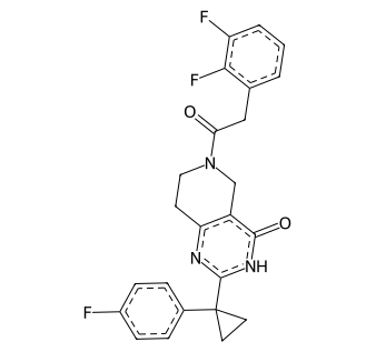 O=C(Cc1cccc(F)c1F)N1CCc2nc(C3(c4ccc(F)cc4)CC3)[nH]c(=O)c2C1